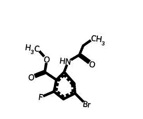 CCC(=O)Nc1cc(Br)cc(F)c1C(=O)OC